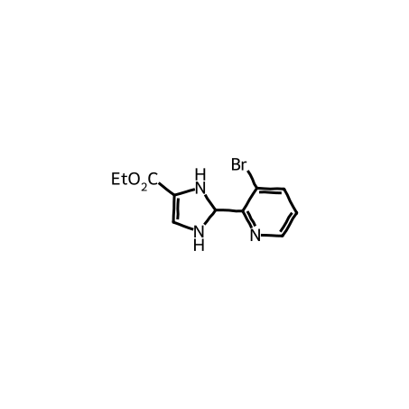 CCOC(=O)C1=CNC(c2ncccc2Br)N1